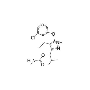 CCc1c(C(OC(N)=O)C(C)C)n[nH]c1Oc1cccc(Cl)c1